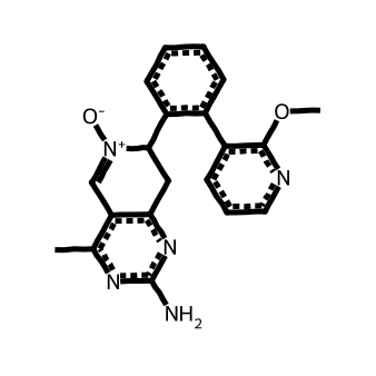 COc1ncccc1-c1ccccc1C1Cc2nc(N)nc(C)c2C=[N+]1[O-]